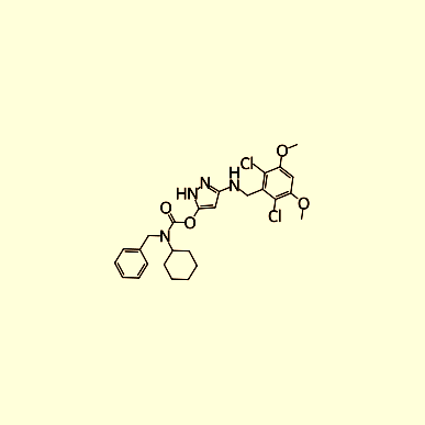 COc1cc(OC)c(Cl)c(CNc2cc(OC(=O)N(Cc3ccccc3)C3CCCCC3)[nH]n2)c1Cl